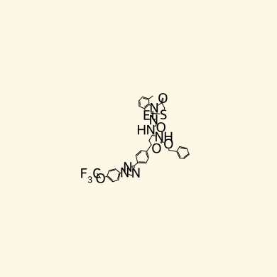 CCc1cccc(C)c1N1C(=O)CS/C1=N\C(=O)NC(CCc1ccc(-c2ncn(-c3ccc(OC(F)(F)F)cc3)n2)cc1)NC(=O)OCc1ccccc1